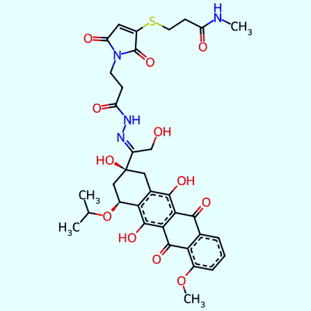 CNC(=O)CCSC1=CC(=O)N(CCC(=O)N/N=C(\CO)[C@]2(O)Cc3c(O)c4c(c(O)c3[C@@H](OC(C)C)C2)C(=O)c2c(OC)cccc2C4=O)C1=O